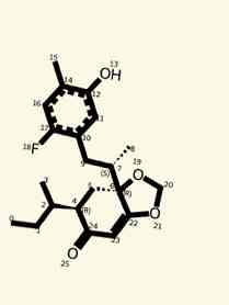 CCC(C)[C@H]1C[C@]2([C@@H](C)Cc3cc(O)c(C)cc3F)OCOC2=CC1=O